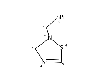 CCCCN1CN=CS1